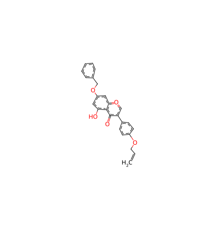 C=CCOc1ccc(-c2coc3cc(OCc4ccccc4)cc(O)c3c2=O)cc1